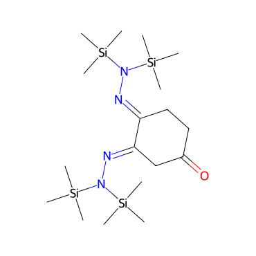 C[Si](C)(C)N(N=C1CCC(=O)CC1=NN([Si](C)(C)C)[Si](C)(C)C)[Si](C)(C)C